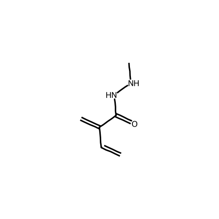 C=CC(=C)C(=O)NNC